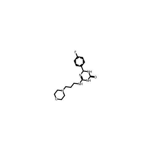 O=C1NC(NCCCN2CCOCC2)=NC(c2ccc(F)cc2)N1